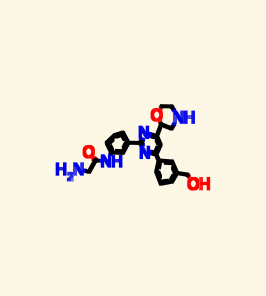 NCC(=O)Nc1cccc(-c2nc(-c3cccc(CO)c3)cc(C3CNCCO3)n2)c1